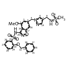 COc1cc(Cn2cc(CNS(C)(=O)=O)cn2)cc2onc(NS(=O)(=O)c3ccccc3OCc3ccccc3)c12